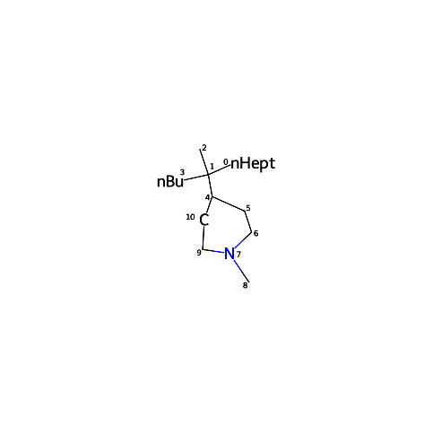 CCCCCCCC(C)(CCCC)C1CCN(C)CC1